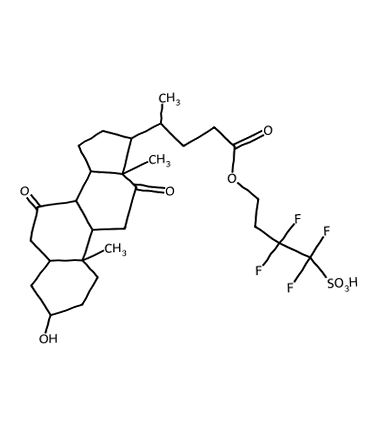 CC(CCC(=O)OCCC(F)(F)C(F)(F)S(=O)(=O)O)C1CCC2C3C(=O)CC4CC(O)CCC4(C)C3CC(=O)C12C